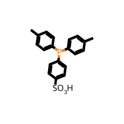 Cc1ccc(P(c2ccc(C)cc2)c2ccc(S(=O)(=O)O)cc2)cc1